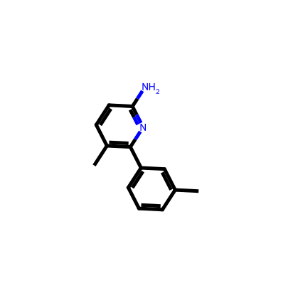 Cc1cccc(-c2nc(N)ccc2C)c1